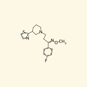 CON=C(CCN1CCCC(c2nccs2)C1)c1ccc(F)cc1